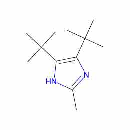 Cc1nc(C(C)(C)C)c(C(C)(C)C)[nH]1